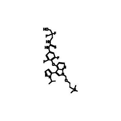 CC(C)n1nccc1-c1cn(COCC[Si](C)(C)C)c2nccc(Oc3c(F)cc(NC(=S)NCC(F)(F)CO)cc3F)c12